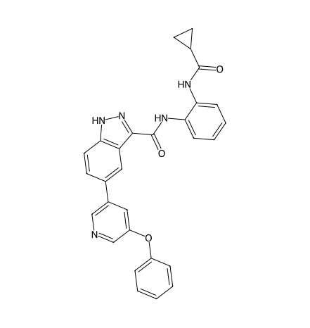 O=C(Nc1ccccc1NC(=O)C1CC1)c1n[nH]c2ccc(-c3cncc(Oc4ccccc4)c3)cc12